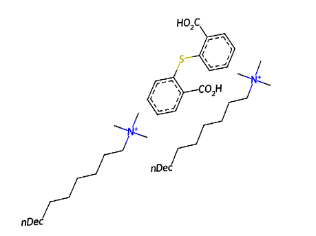 CCCCCCCCCCCCCCCC[N+](C)(C)C.CCCCCCCCCCCCCCCC[N+](C)(C)C.O=C(O)c1ccccc1Sc1ccccc1C(=O)O